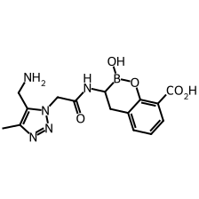 Cc1nnn(CC(=O)NC2Cc3cccc(C(=O)O)c3OB2O)c1CN